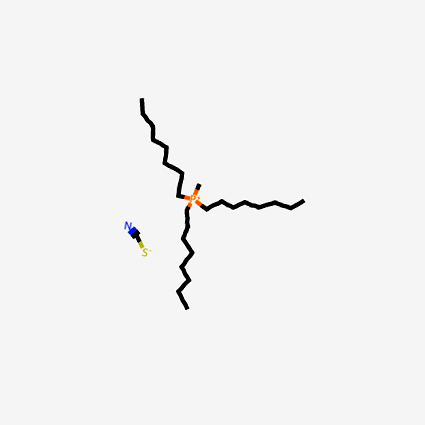 CCCCCCCC[P+](C)(CCCCCCCC)CCCCCCCC.N#C[S-]